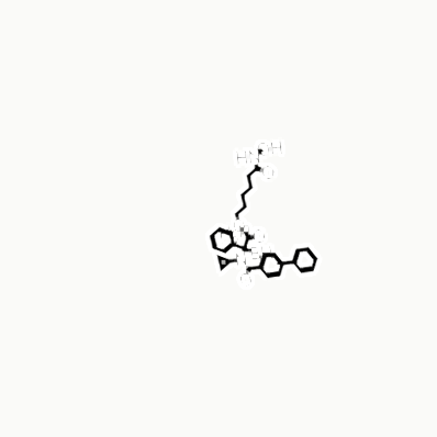 BC(C(N)=O)(c1ccccc1OCCCCCC(=O)NO)N(C(=O)c1ccc(-c2ccccc2)cc1)C1CC1